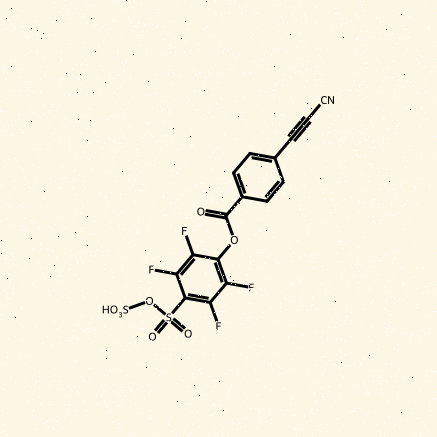 N#CC#Cc1ccc(C(=O)Oc2c(F)c(F)c(S(=O)(=O)OS(=O)(=O)O)c(F)c2F)cc1